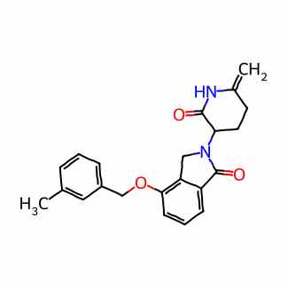 C=C1CCC(N2Cc3c(OCc4cccc(C)c4)cccc3C2=O)C(=O)N1